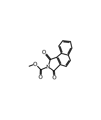 COC(=O)N1C(=O)c2ccc3ccccc3c2C1=O